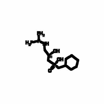 O=P(O)(CC1CCCCC1)C[C@H](O)CNP(P)P